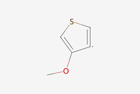 COc1[c]csc1